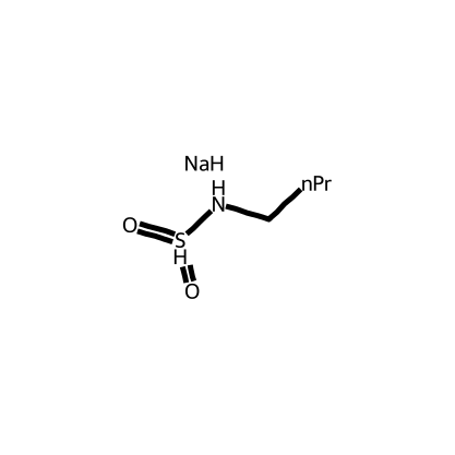 CCCCN[SH](=O)=O.[NaH]